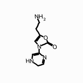 NCCc1cn(C2=CNCC=N2)c(=O)o1